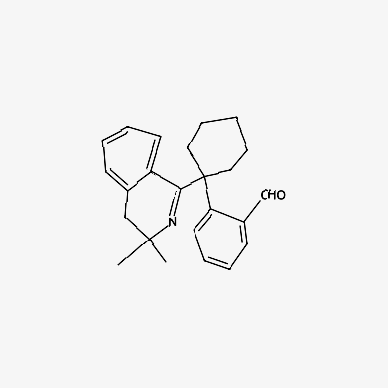 CC1(C)Cc2ccccc2C(C2(c3ccccc3C=O)CCCCC2)=N1